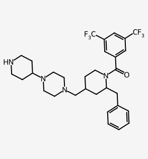 O=C(c1cc(C(F)(F)F)cc(C(F)(F)F)c1)N1CCC(CN2CCN(C3CCNCC3)CC2)CC1Cc1ccccc1